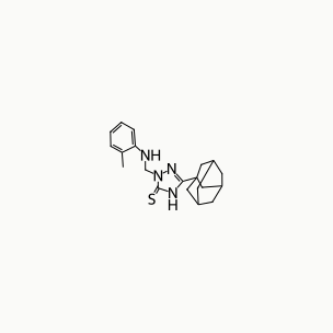 Cc1ccccc1NCn1nc(C23CC4CC(CC(C4)C2)C3)[nH]c1=S